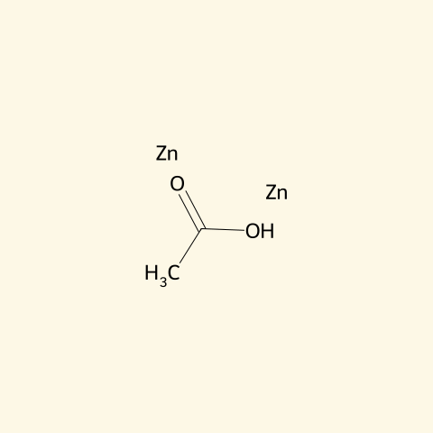 CC(=O)O.[Zn].[Zn]